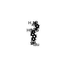 CC(C)(C)[Si](C)(C)Oc1ccc2c(c1)CCC1C2CC[C@@]2(C)C1C[C@@H](OC(=O)c1cccc(S(N)(=O)=O)c1)[C@@H]2O